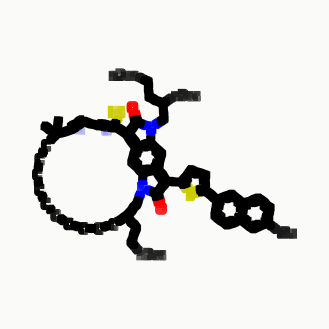 CCCCCCCCCCCCC(CCCCCCCCCC)CN1C(=O)C2=c3cc4c(cc31)=C(c1ccc(-c3ccc5cc(C(C)(C)C)ccc5c3)s1)C(=O)N4CC(CCCCCCCCCCCC)CCCCCCCCCCC(C)(C)/C=C/C=C/2S